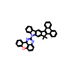 CC1(C)c2cc3c(cc2-c2c1c1ccccc1c1ccccc21)c1ccccc1n3-c1nc2c3c(cccc3n1)Oc1ccccc1-2